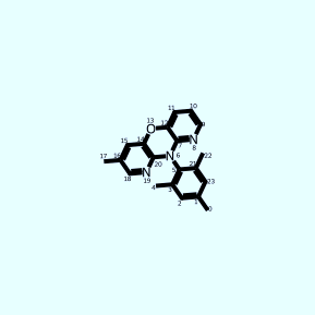 Cc1cc(C)c(N2c3ncccc3Oc3cc(C)cnc32)c(C)c1